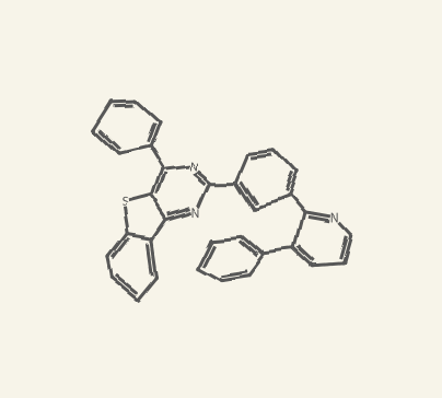 c1ccc(-c2cccnc2-c2cccc(-c3nc(-c4ccccc4)c4sc5ccccc5c4n3)c2)cc1